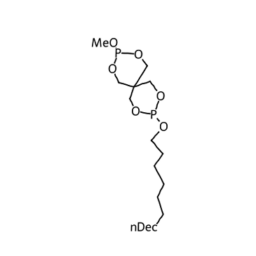 CCCCCCCCCCCCCCCCOP1OCC2(COP(OC)OC2)CO1